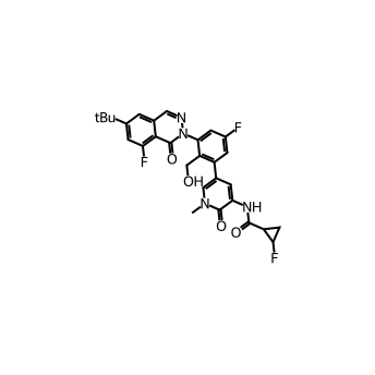 Cn1cc(-c2cc(F)cc(-n3ncc4cc(C(C)(C)C)cc(F)c4c3=O)c2CO)cc(NC(=O)C2CC2F)c1=O